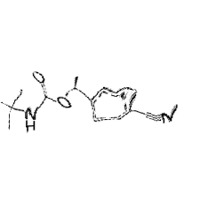 C[C@H](OC(=O)NC(C)(C)C)c1ccc(C#N)cc1